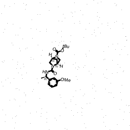 COc1cccc([C@@H](C)NC(=O)N2C[C@@H]3C[C@H]2CN3C(=O)OC(C)(C)C)c1